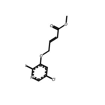 COC(=O)/C=C/COc1cc(Cl)cnc1I